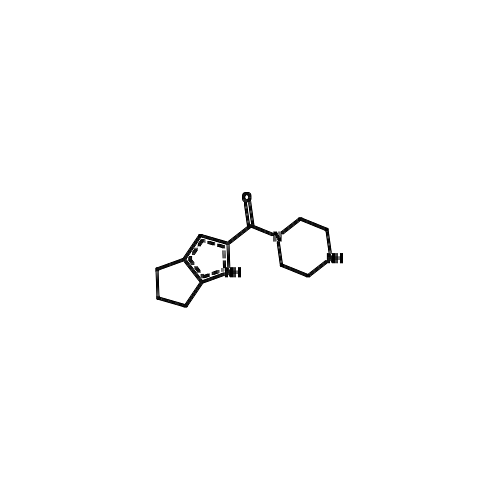 O=C(c1cc2c([nH]1)CCC2)N1CCNCC1